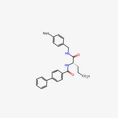 CSc1ccc(CNC(=O)[C@H](CCC(=O)O)NC(=O)c2ccc(-c3ccccc3)cc2)cc1